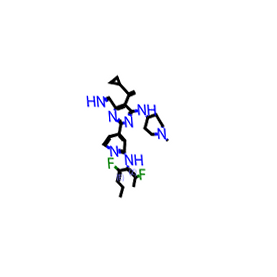 C=C(c1c(C=N)nc(-c2ccnc(NC(=C(/C)F)/C(F)=C\CC)c2)nc1NC1CCN(C)CC1)C1CC1